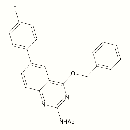 CC(=O)Nc1nc(OCc2ccccc2)c2cc(-c3ccc(F)cc3)ccc2n1